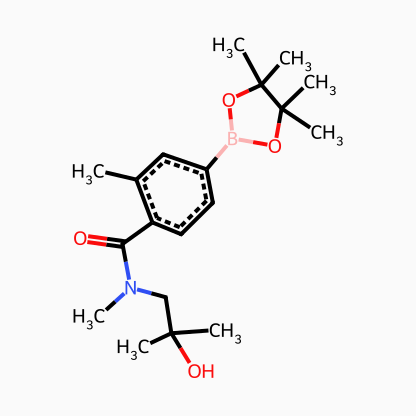 Cc1cc(B2OC(C)(C)C(C)(C)O2)ccc1C(=O)N(C)CC(C)(C)O